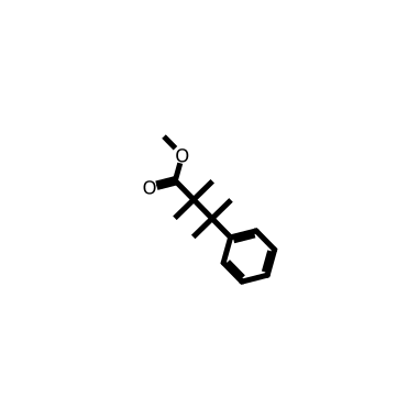 COC(=O)C(C)(C)C(C)(C)c1ccccc1